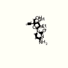 C#C[C@]1(CO)O[C@@H](n2ccc(N)nc2=O)[C@@H](CC)[C@@H]1O